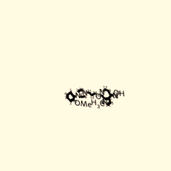 COc1ccccc1N1CCN(CCCOC2=NCC/C(=N\O)c3ccn(C)c32)CC1